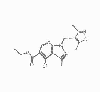 CCOC(=O)c1cnc2c(c(C)nn2Cc2c(C)noc2C)c1Cl